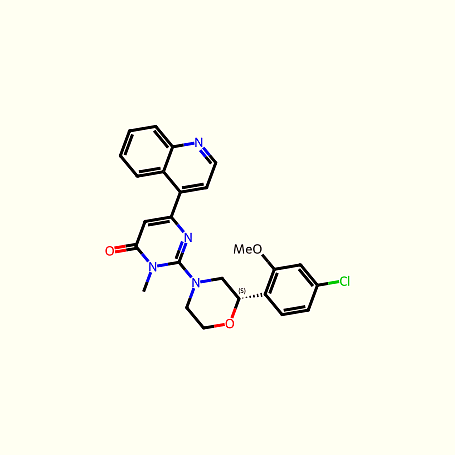 COc1cc(Cl)ccc1[C@H]1CN(c2nc(-c3ccnc4ccccc34)cc(=O)n2C)CCO1